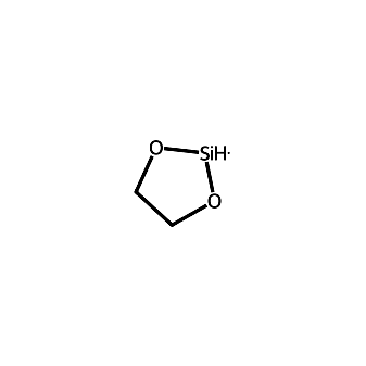 C1CO[SiH]O1